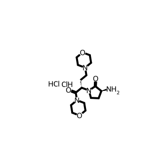 Cl.Cl.N[C@H]1CCN([C@@H](CCN2CCOCC2)C(=O)N2CCOCC2)C1=O